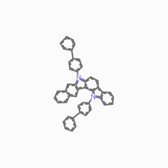 c1ccc(-c2ccc(-n3c4cc5ccccc5cc4c4c3ccc3c5ccccc5n(-c5ccc(-c6ccccc6)cc5)c34)cc2)cc1